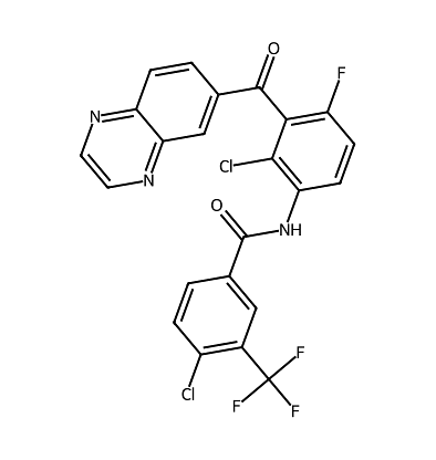 O=C(Nc1ccc(F)c(C(=O)c2ccc3nccnc3c2)c1Cl)c1ccc(Cl)c(C(F)(F)F)c1